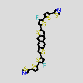 Fc1cc(-c2cc3cc4cc5sc(-c6cc(F)c(-c7ccc(-c8cncs8)s7)s6)cc5cc4cc3s2)sc1-c1ccc(-c2cncs2)s1